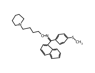 CSc1ccc(/C(=N/OCCCCN2CCCCC2)c2cccc3ccccc23)cc1